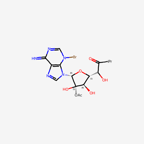 CC(=O)O[C@@]1(O)[C@H](O)[C@@H](C(O)C(=O)C(C)C)O[C@H]1n1cnc2c(=N)ncn(Br)c21